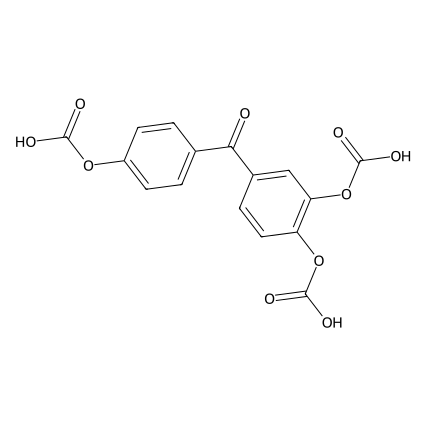 O=C(O)Oc1ccc(C(=O)c2ccc(OC(=O)O)c(OC(=O)O)c2)cc1